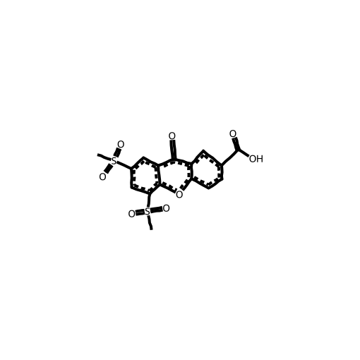 CS(=O)(=O)c1cc(S(C)(=O)=O)c2oc3ccc(C(=O)O)cc3c(=O)c2c1